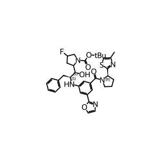 Cc1csc([C@H]2CCCN2C(=O)c2cc(N[C@@H](Cc3ccccc3)[C@H](O)C3CC(F)CN3C(=O)OC(C)(C)C)cc(-c3ncco3)c2)n1